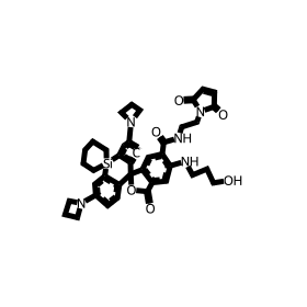 O=C(NCCN1C(=O)C=CC1=O)c1cc2c(cc1NCCCO)C(=O)OC21c2ccc(N3CCC3)cc2[Si]2(CCCCC2)c2cc(N3CCC3)ccc21